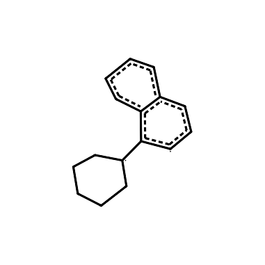 [c]1ccc2ccccc2c1[C]1CCCCC1